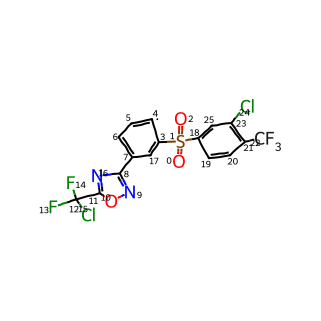 O=S(=O)(c1[c]ccc(-c2noc(C(F)(F)Cl)n2)c1)c1ccc(C(F)(F)F)c(Cl)c1